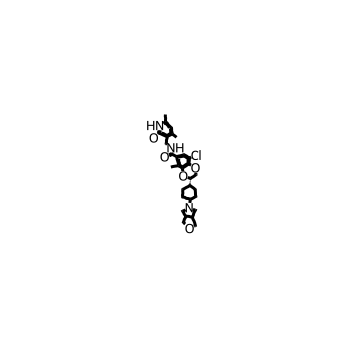 Cc1cc(C)c(CNC(=O)c2cc(Cl)c3c(c2C)O[C@@H](C2CCC(N4CC5COCC5C4)CC2)CO3)c(=O)[nH]1